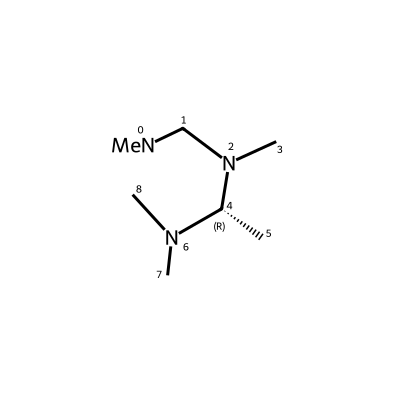 CNCN(C)[C@H](C)N(C)C